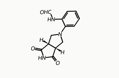 O=CNc1ccccc1N1C[C@@H]2C(=O)NC(=O)[C@@H]2C1